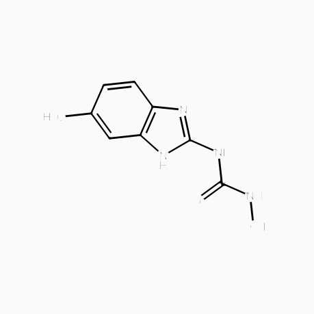 CNC(=O)Nc1nc2ccc(C)cc2[nH]1